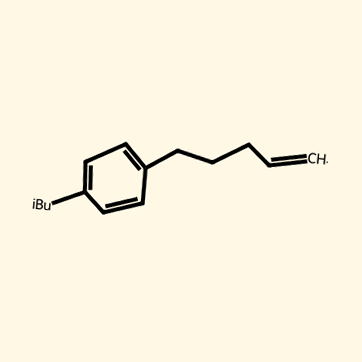 [CH]=CCCCc1ccc(C(C)CC)cc1